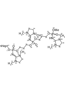 CCCCCCCOP(=O)(N=C1N(C)CCN1C)OCCCOP(=O)(N=C1N(C)CCN1C)OCCCOP(=O)(NC1N(C)CCN1C)OC